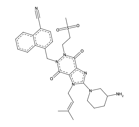 CC(C)=CCn1c(N2CCCC(N)C2)nc2c(=O)n(CCS(C)(=O)=O)n(Cc3ccc(C#N)c4ccccc34)c(=O)c21